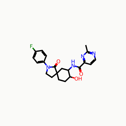 Cc1nccc(C(=O)NC2CC3(CCC2O)CCN(c2ccc(F)cc2)C3=O)n1